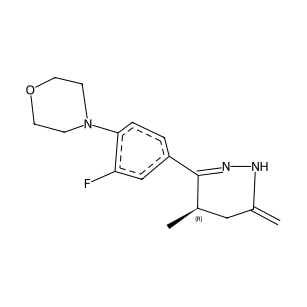 C=C1C[C@@H](C)C(c2ccc(N3CCOCC3)c(F)c2)=NN1